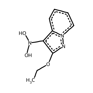 CCOc1nn2ccccc2c1N(O)O